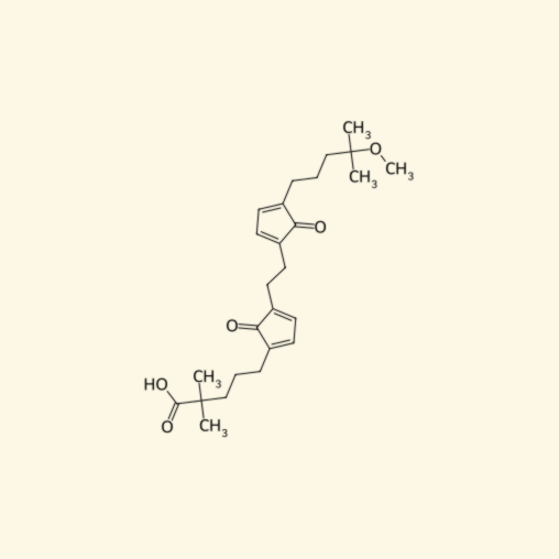 COC(C)(C)CCCC1=CC=C(CCC2=CC=C(CCCC(C)(C)C(=O)O)C2=O)C1=O